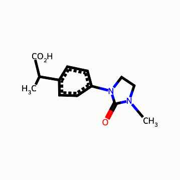 CC(C(=O)O)c1ccc(N2CCN(C)C2=O)cc1